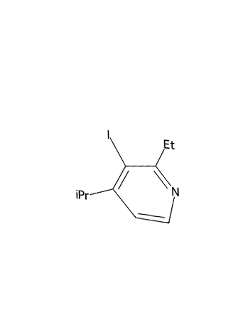 CCc1nccc(C(C)C)c1I